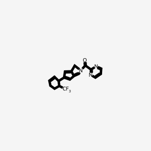 O=C(c1ncccn1)N1C=C2C=C(C3C=CCCC3C(F)(F)F)C=C2C1